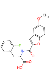 COc1ccc2oc(C(=O)N[C@@H](Cc3ccccc3F)C(=O)O)cc2c1